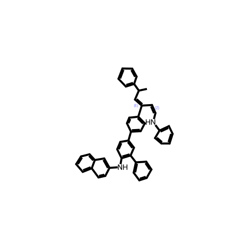 CC(/C=C(\C=C/Nc1ccccc1)c1ccc(-c2ccc(Nc3ccc4ccccc4c3)c(-c3ccccc3)c2)cc1)c1ccccc1